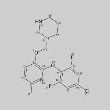 Cc1ccc(OC[C@H]2CCCNC2)c(Oc2c(F)cc(Cl)cc2F)n1